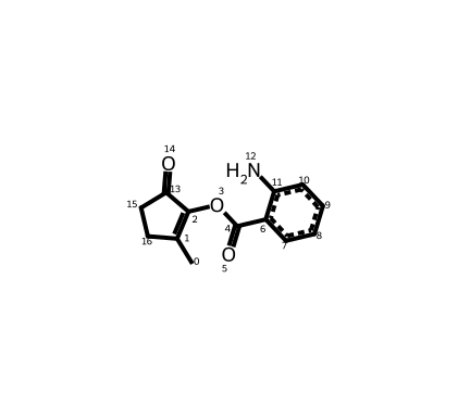 CC1=C(OC(=O)c2ccccc2N)C(=O)CC1